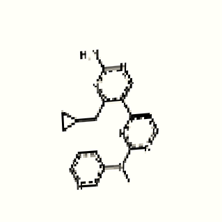 CN(c1cccnc1)c1nccc(-c2cnc(N)nc2CC2CC2)n1